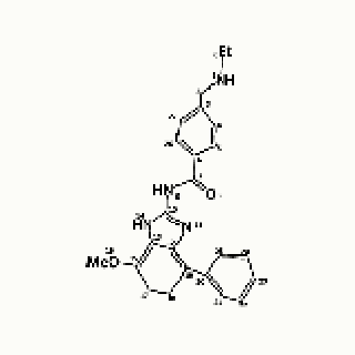 CCNCc1ccc(C(=O)Nc2nc3c([nH]2)=C(OC)CCC=3c2ccccc2)cc1